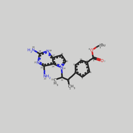 CC(c1ccc(C(=O)OC(C)(C)C)cc1)C(C)n1ccc2nc(N)nc(N)c21